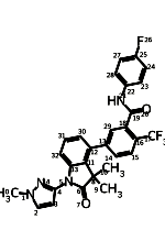 Cn1ccc(N2C(=O)C(C)(C)c3c(-c4ccc(C(F)(F)F)c(C(=O)Nc5ccc(F)cc5)c4)cccc32)n1